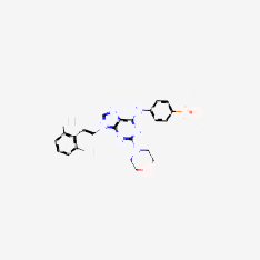 Cc1cccc(C)c1/C=C/n1cnc2c(Nc3ccc(P(C)(C)=O)cc3)nc(N3CCOCC3)nc21